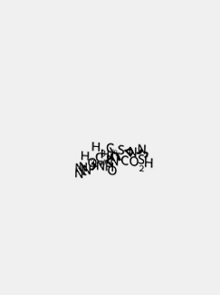 CC(NC(=O)Cn1cnnn1)[C@H]1C(=O)N2C(C(=O)O)=C(SC3CN(C4=NCCS4)C3)[C@H](C)[C@H]12